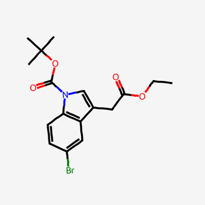 CCOC(=O)Cc1cn(C(=O)OC(C)(C)C)c2ccc(Br)cc12